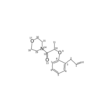 C=CCc1ccccc1OC(C)C(=O)N1CCOCC1